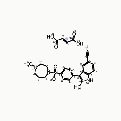 CN1CCCN(S(=O)(=O)c2ccc(-c3c(O)[nH]c4ccc(C#N)cc34)nc2)CC1.O=C(O)/C=C/C(=O)O